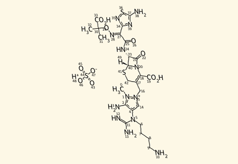 Cn1c(N)c(N(CCCCN)C(=N)N)c[n+]1CC1=C(C(=O)O)N2C(=O)[C@@H](NC(=O)C(=NOC(C)(C)C(=O)O)c3nsc(N)n3)[C@H]2SC1.O=S(=O)([O-])[O-].[H+]